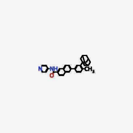 Cc1ccc(-c2ccc3cc(C(=O)Nc4ccncc4)ccc3c2)cc1C12CC3CC(CC(C3)C1)C2